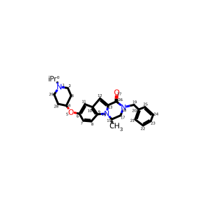 CC(C)N1CCC(Oc2ccc3c(c2)cc2n3[C@H](C)CN(Cc3ccccc3)C2=O)CC1